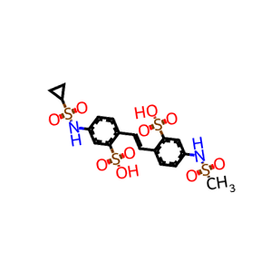 CS(=O)(=O)Nc1ccc(C=Cc2ccc(NS(=O)(=O)C3CC3)cc2S(=O)(=O)O)c(S(=O)(=O)O)c1